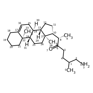 CC(CN)CCC(=O)[C@@H](C)[C@H]1CC[C@H]2[C@@H]3CC=C4CCCC[C@]4(C)[C@H]3CC[C@]12C